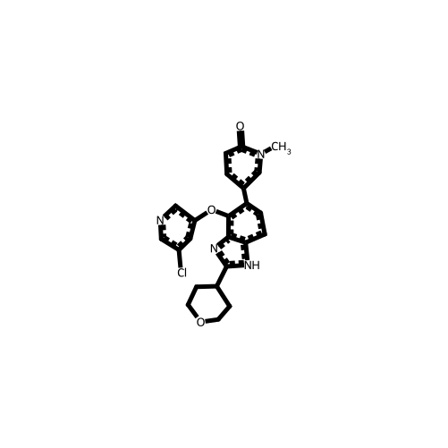 Cn1cc(-c2ccc3[nH]c(C4CCOCC4)nc3c2Oc2cncc(Cl)c2)ccc1=O